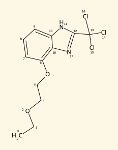 CCOCCOc1cccc2[nH]c(C(Cl)(Cl)Cl)nc12